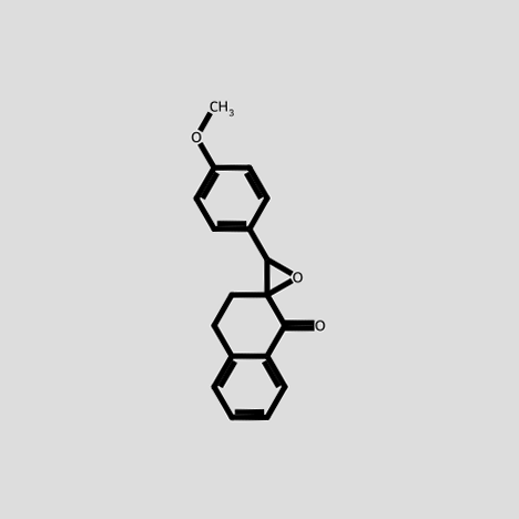 COc1ccc(C2OC23CCc2ccccc2C3=O)cc1